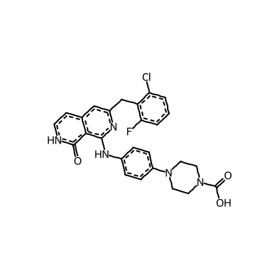 O=C(O)N1CCN(c2ccc(Nc3nc(Cc4c(F)cccc4Cl)cc4cc[nH]c(=O)c34)cc2)CC1